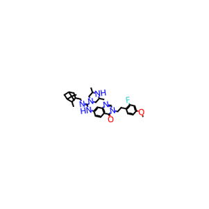 COc1ccc(CCn2cnc3cc(N/C(=N/CC4CC5CC(C4C)C5(C)C)N4CC(C)NC(C)C4)ccc3c2=O)c(F)c1